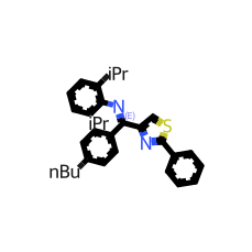 CCCCc1ccc(/C(=N\c2c(C(C)C)cccc2C(C)C)c2csc(-c3ccccc3)n2)cc1